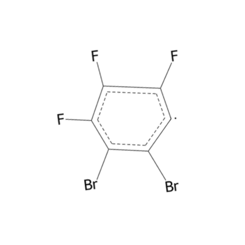 Fc1[c]c(Br)c(Br)c(F)c1F